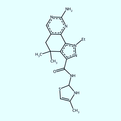 CCn1nc(C(=O)NC2NC(C)=CS2)c2c1-c1nc(N)ncc1CC2(C)C